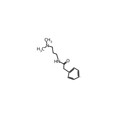 CN(C)CCCNC(=O)Cc1cc[c]cc1